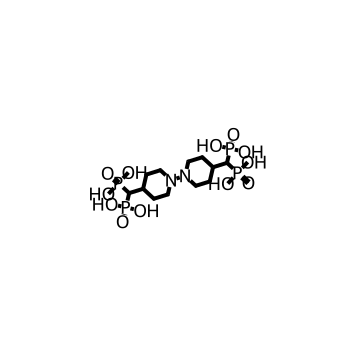 O=P(O)(O)C(C1CCN(N2CCC(C(P(=O)(O)O)P(=O)(O)O)CC2)CC1)P(=O)(O)O